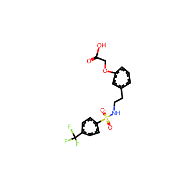 O=C(O)COc1cccc(CCNS(=O)(=O)c2ccc(C(F)(F)F)cc2)c1